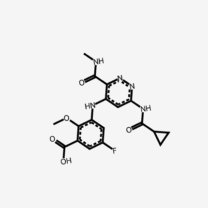 CNC(=O)c1nnc(NC(=O)C2CC2)cc1Nc1cc(F)cc(C(=O)O)c1OC